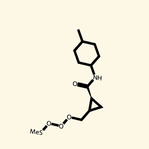 CSOOOCC1C[C@@H]1C(=O)NC1CCC(C)CC1